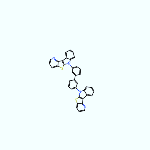 c1cc(-c2cccc(-n3c4ccccc4c4c5ncccc5sc43)c2)cc(-n2c3ccccc3c3c4ncccc4sc32)c1